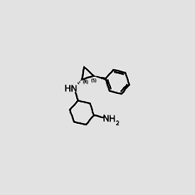 NC1CCCC(N[C@@H]2C[C@H]2c2ccccc2)C1